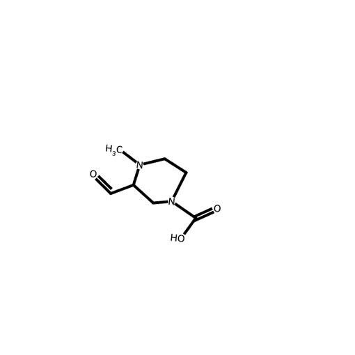 CN1CCN(C(=O)O)CC1C=O